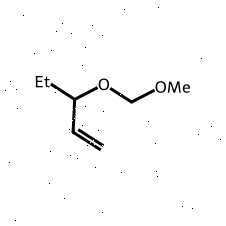 C=CC(CC)OCOC